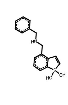 OS1(O)C=Cc2c(CNCc3ccccc3)cccc21